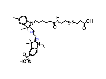 CCN1/C(=C/C=C/C2=[N+](CCCCCC(=O)NCCSSCCC(=O)O)c3ccc(C)cc3C2(C)C)C(C)(C)c2cc(S(=O)(=O)O)ccc21